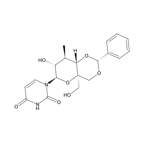 C[C@@H]1[C@@H](O)[C@H](n2ccc(=O)[nH]c2=O)O[C@]2(CO)CO[C@@H](c3ccccc3)O[C@@H]12